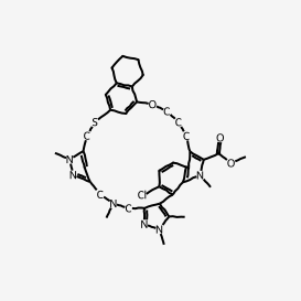 COC(=O)c1c2c3ccc(Cl)c(c3n1C)-c1c(nn(C)c1C)CN(C)Cc1cc(n(C)n1)CSc1cc3c(c(c1)OCCC2)CCCC3